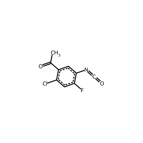 CC(=O)c1cc(N=C=O)c(F)cc1Cl